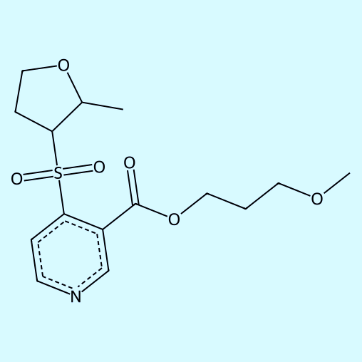 COCCCOC(=O)c1cnccc1S(=O)(=O)C1CCOC1C